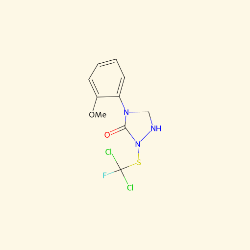 COc1ccccc1N1CNN(SC(F)(Cl)Cl)C1=O